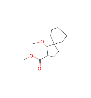 COC(=O)C1CCC2(CCCCC2)C1OC